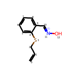 C=CCSc1ccccc1/C=N/O